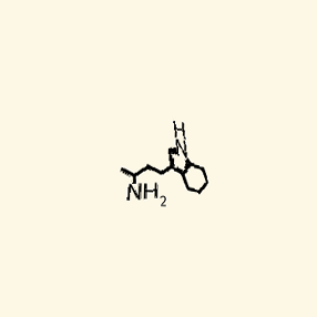 CC(N)CCc1c[nH]c2c1CCCC2